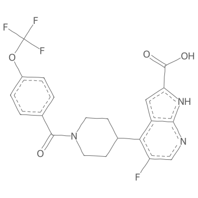 O=C(O)c1cc2c(C3CCN(C(=O)c4ccc(OC(F)(F)F)cc4)CC3)c(F)cnc2[nH]1